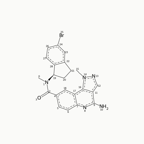 CN(C(=O)c1ccc2nc(N)c3cnn(C)c3c2c1)[C@@H]1CCc2cc(Br)ccc21